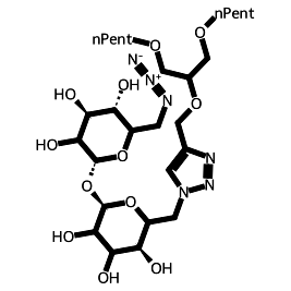 CCCCCOCC(COCCCCC)OCc1cn(CC2O[C@H](O[C@H]3OC(CN=[N+]=[N-])[C@@H](O)[C@H](O)C3O)C(O)C(O)[C@@H]2O)nn1